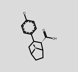 CN1C2CCC1[C@@H](C(=O)O)C(c1ccc(Cl)cc1)C2